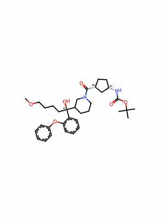 COCCCC[C@@](O)(c1ccccc1Oc1ccccc1)C1CCCN(C(=O)[C@@H]2CC[C@H](NC(=O)OC(C)(C)C)C2)C1